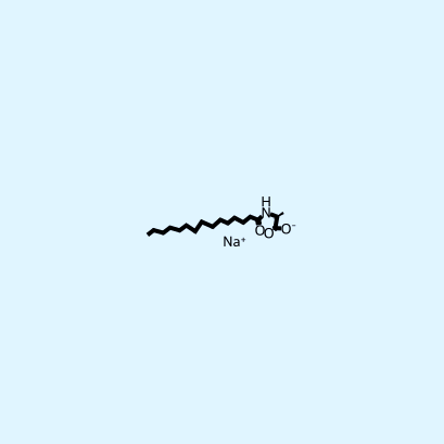 CCCCCCCCCCCCCCC(=O)N[C@@H](C)C(=O)[O-].[Na+]